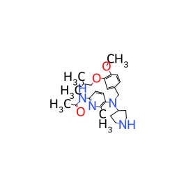 COc1ccc(CN(c2ccc(NC(C)=O)nc2C)C2CCNCC2)cc1OCC(C)C